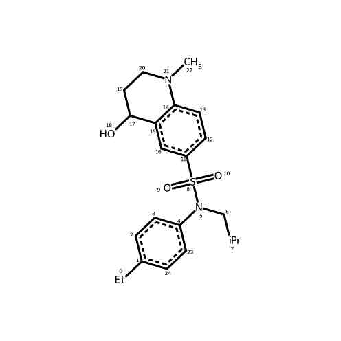 CCc1ccc(N(CC(C)C)S(=O)(=O)c2ccc3c(c2)C(O)CCN3C)cc1